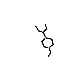 CCC(CC)N1CCN(CC)CC1